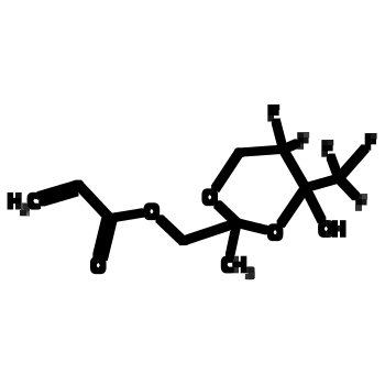 C=CC(=O)OCC1(C)OCC(F)(F)C(O)(C(F)(F)F)O1